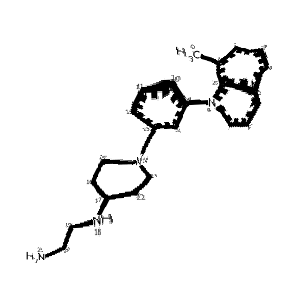 Cc1cccc2ccn(-c3cccc(N4CCC(NCCN)CC4)c3)c12